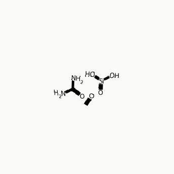 C=O.NC(N)=O.O=[Si](O)O